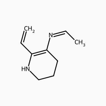 C=CC1=C(/N=C\C)CCCN1